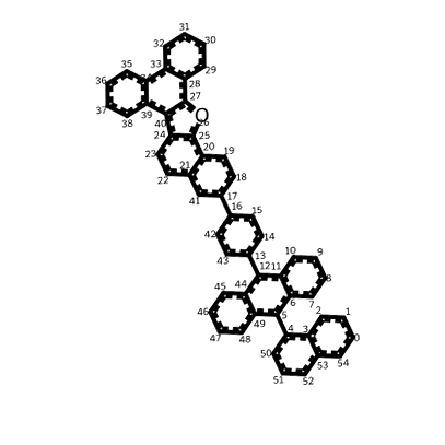 c1ccc2c(-c3c4ccccc4c(-c4ccc(-c5ccc6c(ccc7c6oc6c8ccccc8c8ccccc8c76)c5)cc4)c4ccccc34)cccc2c1